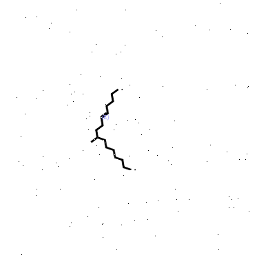 [CH2]CCC/C=C/CCC(C)CCCCCC[CH2]